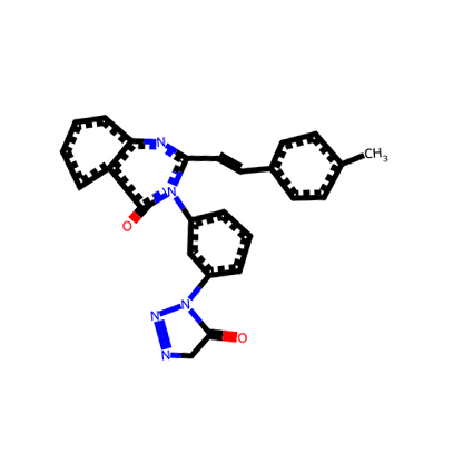 Cc1ccc(/C=C/c2nc3ccccc3c(=O)n2-c2cccc(N3N=NCC3=O)c2)cc1